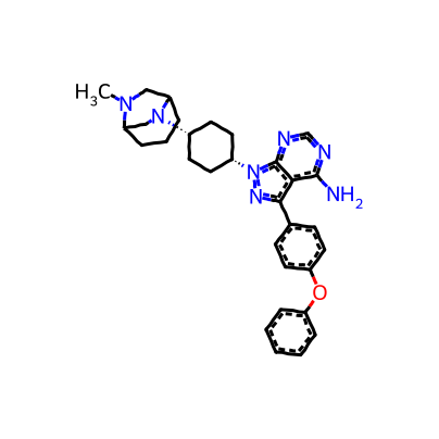 CN1CC2CCCC1CN2[C@H]1CC[C@@H](n2nc(-c3ccc(Oc4ccccc4)cc3)c3c(N)ncnc32)CC1